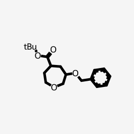 CC(C)(C)OC(=O)C1CCOCC(OCc2ccccc2)C1